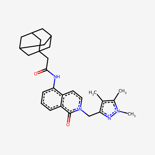 Cc1c(Cn2ccc3c(NC(=O)CC45CC6CC(CC(C6)C4)C5)cccc3c2=O)nn(C)c1C